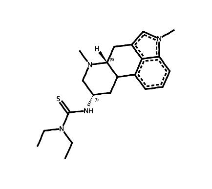 CCN(CC)C(=S)N[C@H]1CC2c3cccc4c3c(cn4C)C[C@H]2N(C)C1